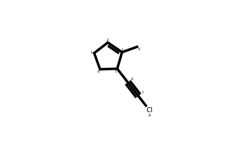 CC1=CCCC1C#CCl